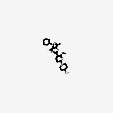 COc1nc(N2CCC(O)CC2)ccc1-c1nc2c(C)nn(C3CCCCC3)c2c(=O)[nH]1